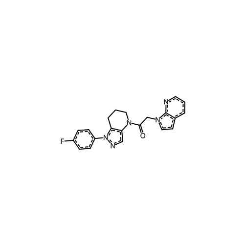 O=C(Cn1ccc2cccnc21)N1CCCc2c1cnn2-c1ccc(F)cc1